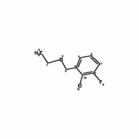 CCOCc1cccc(F)c1Cl